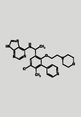 Cc1c(Cl)cc(C(C)Nc2ncnc3[nH]cnc23)c(OCCN2CCOCC2)c1-c1ccncc1